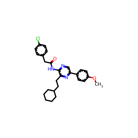 COc1ccc(-c2cnc(NC(=O)Cc3ccc(Cl)cc3)c(CCC3CCCCC3)n2)cc1